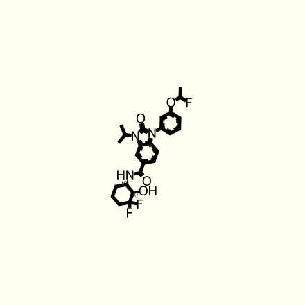 CC(F)Oc1cccc(-n2c(=O)n(C(C)C)c3cc(C(=O)N[C@H]4CCCC(F)(F)[C@@H]4O)ccc32)c1